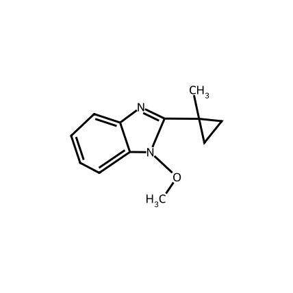 COn1c(C2(C)CC2)nc2ccccc21